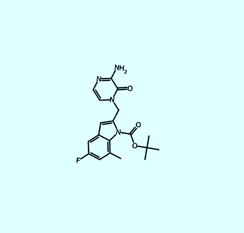 Cc1cc(F)cc2cc(Cn3ccnc(N)c3=O)n(C(=O)OC(C)(C)C)c12